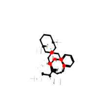 N=C(C(=O)O)c1nc2ccccc2n([C@H]2C[C@H]3CCC[C@@H](C2)N3C2CC3CCCCC(C3)C2)c1=O